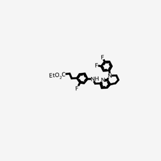 CCOC(=O)CCc1ccc(NCc2ccc3c(n2)N(c2ccc(F)c(F)c2)CCC3)cc1F